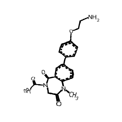 CCCC(=O)N1CC(=O)N(C)c2ccc(-c3ccc(OCCN)cc3)cc2C1=O